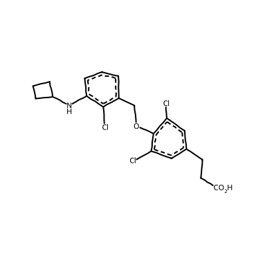 O=C(O)CCc1cc(Cl)c(OCc2cccc(NC3CCC3)c2Cl)c(Cl)c1